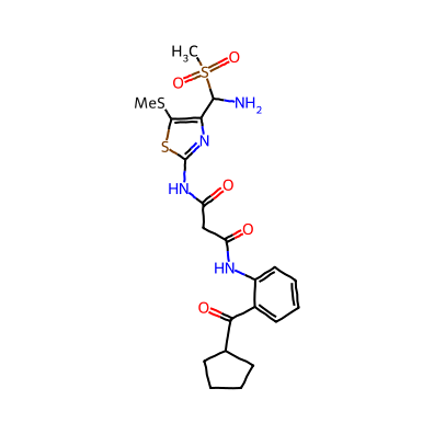 CSc1sc(NC(=O)CC(=O)Nc2ccccc2C(=O)C2CCCC2)nc1C(N)S(C)(=O)=O